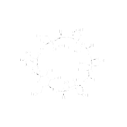 CC(O)C(O)[C@@H]1O[C@H]2OC(CO)[C@@H](O[C@H]3OC(CO)[C@@H](O[C@H]4OC(CO)[C@@H](O[C@H]5OC(CO)[C@@H](O[C@H]6OC(CO)[C@@H](OOC1CO)C(O)C6O)C(O)C5O)C(O)C4O)C(O)C3O)C(O)C2O